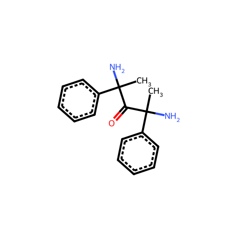 CC(N)(C(=O)C(C)(N)c1ccccc1)c1ccccc1